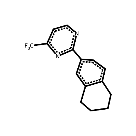 FC(F)(F)c1ccnc(-c2ccc3c(c2)[CH]CCC3)n1